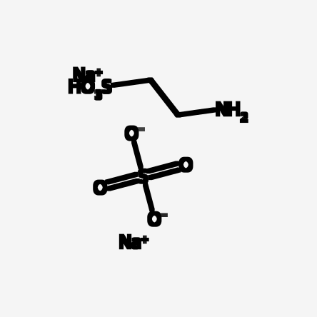 NCCS(=O)(=O)O.O=S(=O)([O-])[O-].[Na+].[Na+]